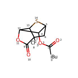 CCC(C)C(=O)OC1C2CC3(C(F)(F)F)C(=O)OC1C3S2